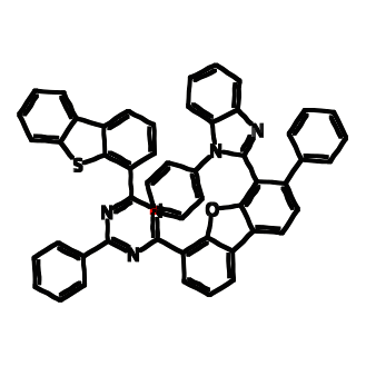 c1ccc(-c2nc(-c3cccc4c3oc3c(-c5nc6ccccc6n5-c5ccccc5)c(-c5ccccc5)ccc34)nc(-c3cccc4c3sc3ccccc34)n2)cc1